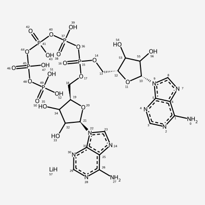 Nc1ncnc2c1ncn2[C@@H]1O[C@H](COP(=O)(OC[C@H]2O[C@@H](n3cnc4c(N)ncnc43)C(O)C2O)OP(=O)(O)OP(=O)(O)OP(=O)(O)OP(=O)(O)O)C(O)C1O.[LiH]